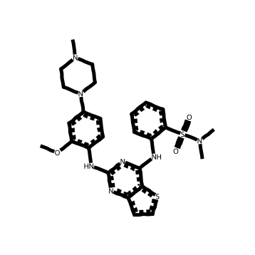 COc1cc(N2CCN(C)CC2)ccc1Nc1nc(Nc2ccccc2S(=O)(=O)N(C)C)c2sccc2n1